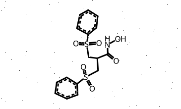 O=C(NO)C(CS(=O)(=O)c1ccccc1)CS(=O)(=O)c1ccccc1